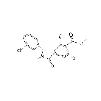 COC(=O)c1c(Cl)cc(C(=O)N(C)Cc2cccc(Cl)c2)cc1Cl